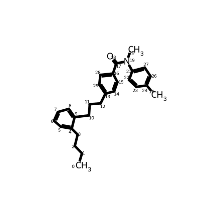 CCCCc1ccccc1CCCc1ccc(C(=O)N(C)c2ccc(C)cc2)cc1